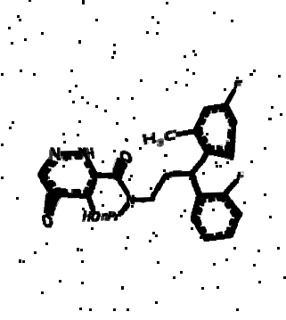 CCCN(CCC(c1ccc(F)cc1C)c1ccccc1F)C(=O)c1[nH]ncc(=O)c1O